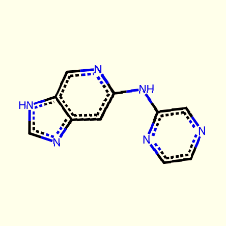 c1cnc(Nc2cc3nc[nH]c3cn2)cn1